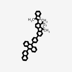 C=Cc1c(-c2sc3ccccc3c2C)ccc2c1C(C)(C)c1ccc(-c3ccc(-c4c5ccccc5c(-c5ccc6ccccc6c5)c5ccccc45)cc3)cc1-2